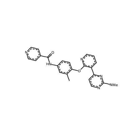 CNc1nccc(-c2cccnc2Oc2ccc(NC(=O)c3ccncc3)cc2C)n1